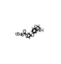 CC(C)(C)OC(=O)N1CCC(Oc2ccc3c(c2)NCCO3)C1